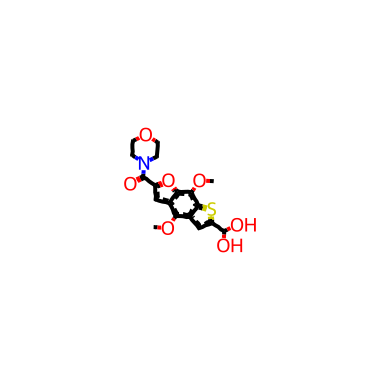 COc1c2cc(C(=O)N3CCOCC3)oc2c(OC)c2sc(C(O)O)cc12